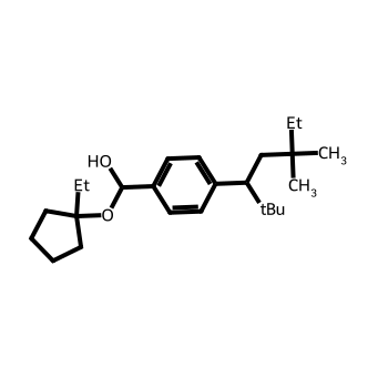 CCC(C)(C)CC(c1ccc(C(O)OC2(CC)CCCC2)cc1)C(C)(C)C